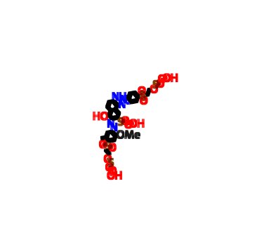 COc1cc(S(=O)(=O)CCOSOOO)c(C)cc1/N=N/c1c(SOOO)cc2c(/N=N/c3ccc(S(=O)(=O)CCOSOOO)cc3)c(N)ccc2c1O